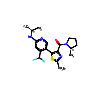 CCOC(=O)c1nc(C(=O)N2CCC[C@@H]2C)c(-c2cnc(N[C@@H](C)C(F)(F)F)cc2C(F)F)s1